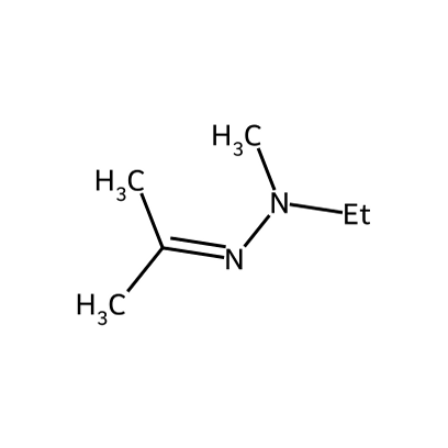 CCN(C)N=C(C)C